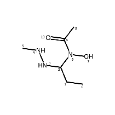 CCC(NNC)N(O)C(C)=O